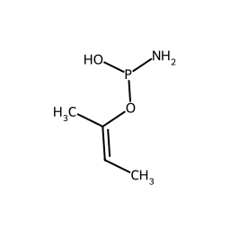 CC=C(C)OP(N)O